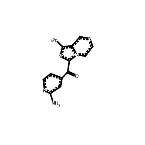 CC(C)c1nc(C(=O)c2ccnc(N)c2)n2ccncc12